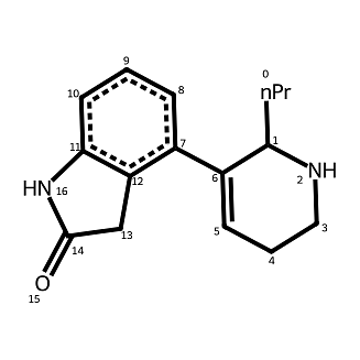 CCCC1NCCC=C1c1cccc2c1CC(=O)N2